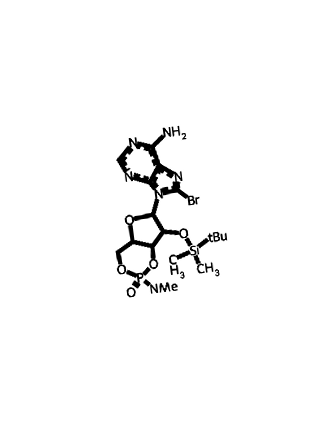 CNP1(=O)OCC2OC(n3c(Br)nc4c(N)ncnc43)C(O[Si](C)(C)C(C)(C)C)C2O1